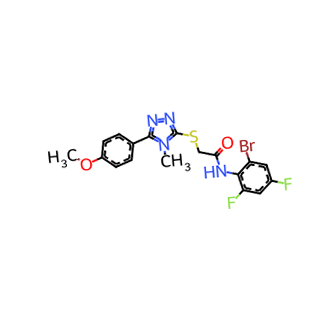 COc1ccc(-c2nnc(SCC(=O)Nc3c(F)cc(F)cc3Br)n2C)cc1